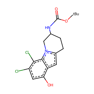 CC(C)(C)OC(=O)NC1CCc2cc3c(O)cc(Cl)c(Cl)c3n2C1